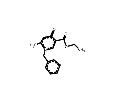 CCOC(=O)c1cn(Cc2ccccc2)c(C)cc1=O